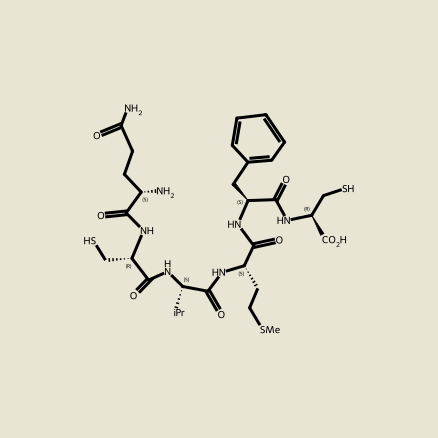 CSCC[C@H](NC(=O)[C@@H](NC(=O)[C@H](CS)NC(=O)[C@@H](N)CCC(N)=O)C(C)C)C(=O)N[C@@H](Cc1ccccc1)C(=O)N[C@@H](CS)C(=O)O